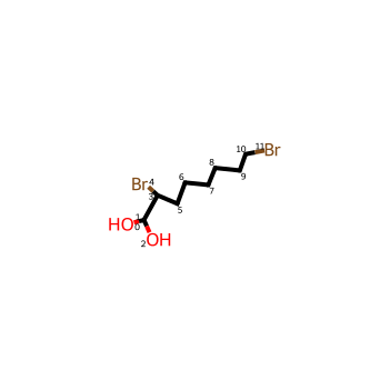 OC(O)C(Br)CCCCCCBr